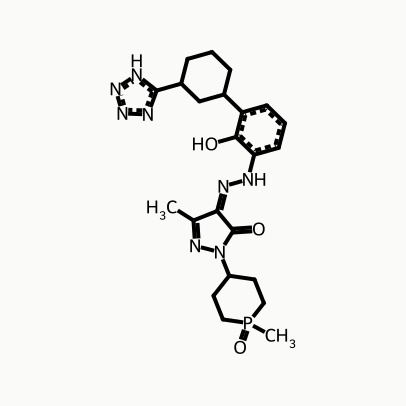 CC1=NN(C2CCP(C)(=O)CC2)C(=O)C1=NNc1cccc(C2CCCC(c3nnn[nH]3)C2)c1O